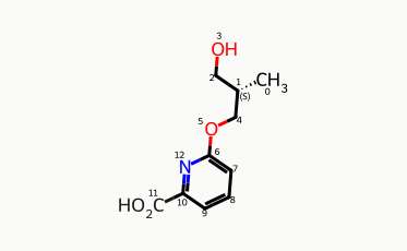 C[C@@H](CO)COc1cccc(C(=O)O)n1